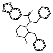 O=C(c1ccc2nc[nH]c2c1)N(Cc1ccccc1)N1CCNC(Cl)C1Cc1ccccc1